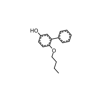 CCCCOc1ccc(O)cc1-c1ccccc1